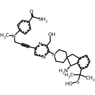 CN(CC#Cc1cnc(N2CCC3(CC2)Cc2cccc(C(C)(C)SO)c2[C@H]3N)c(CO)n1)c1ccc(C(N)=O)cc1